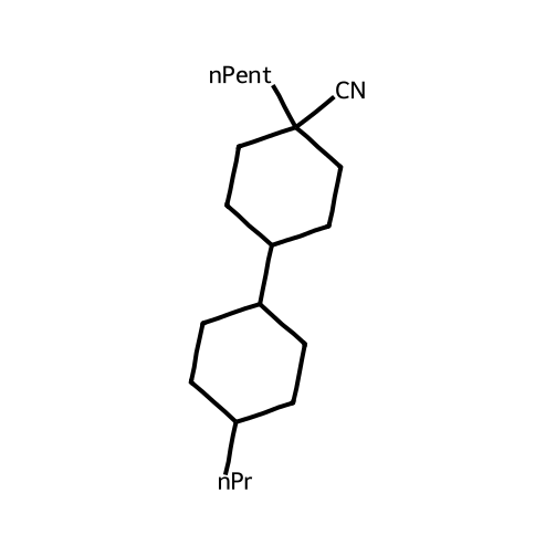 CCCCCC1(C#N)CCC(C2CCC(CCC)CC2)CC1